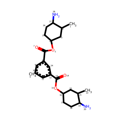 C.CC1CC(OC(=O)c2cccc(C(=O)OC3CCC(N)C(C)C3)c2)CCC1N